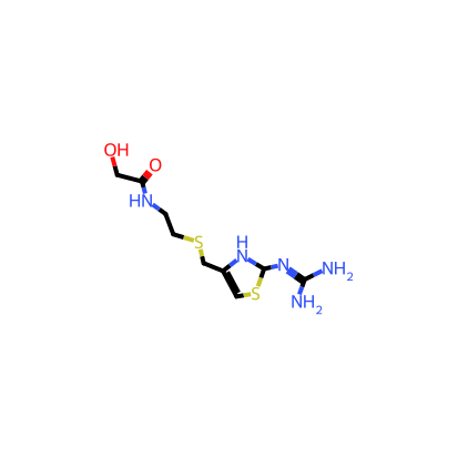 NC(N)=NC1NC(CSCCNC(=O)CO)=CS1